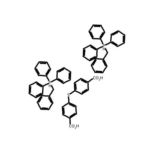 O=C(O)c1ccc(Sc2ccc(C(=O)O)cc2)cc1.c1ccc(C[PH](c2ccccc2)(c2ccccc2)c2ccccc2)cc1.c1ccc(C[PH](c2ccccc2)(c2ccccc2)c2ccccc2)cc1